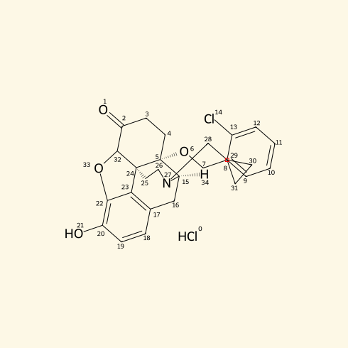 Cl.O=C1CC[C@@]2(OCc3ccccc3Cl)[C@H]3Cc4ccc(O)c5c4[C@@]2(CCN3CC2CC2)C1O5